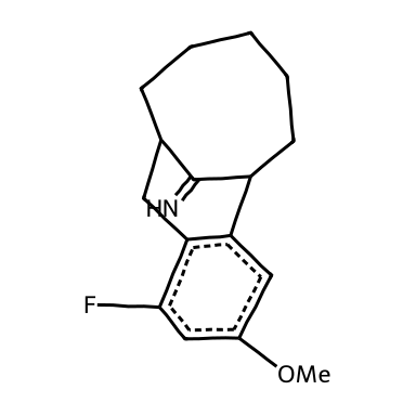 COc1cc(F)c2c(c1)C1CCCCCC(C2)C1=N